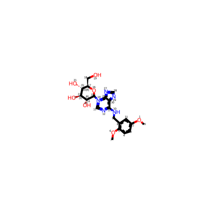 COc1ccc(OC)c(CNc2ncn(C3O[C@H](CO)[C@@H](O)[C@H](O)[C@H]3O)c3ncnc2-3)c1